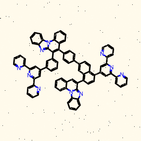 c1ccc(-c2cc(-c3cccc(-c4c(-c5ccc(-c6ccc7c(-c8cc(-c9ccccn9)nc(-c9ccccn9)c8)ccc(-c8cc9ccccc9n9c8nc8ccccc89)c7c6)cc5)c5ccccc5n5c4nc4ccccc45)c3)cc(-c3ccccn3)n2)nc1